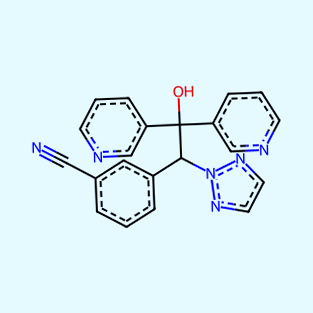 N#Cc1cccc(C(n2nccn2)C(O)(c2cccnc2)c2cccnc2)c1